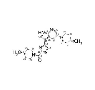 CC1CC=C(c2cnc3[nH]cc(-c4csc(C(=O)N5CCN(C)CC5)n4)c3c2)CC1